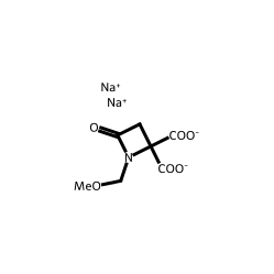 COCN1C(=O)CC1(C(=O)[O-])C(=O)[O-].[Na+].[Na+]